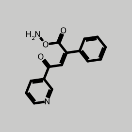 NOC(=O)C(=CC(=O)c1cccnc1)c1ccccc1